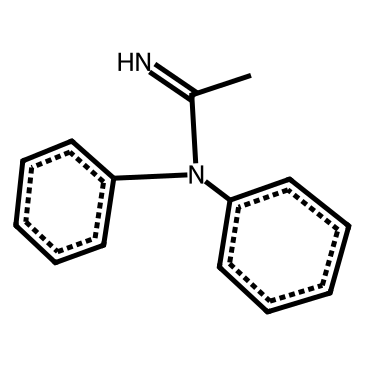 CC(=N)N(c1ccccc1)c1ccccc1